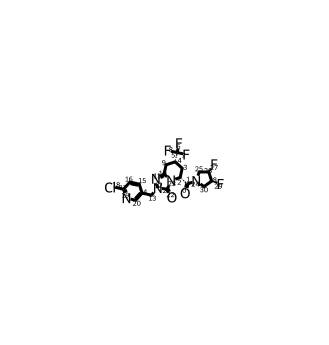 O=C([C@H]1C[C@@H](C(F)(F)F)Cc2nn(Cc3ccc(Cl)nc3)c(=O)n21)N1C[C@@H](F)[C@@H](F)C1